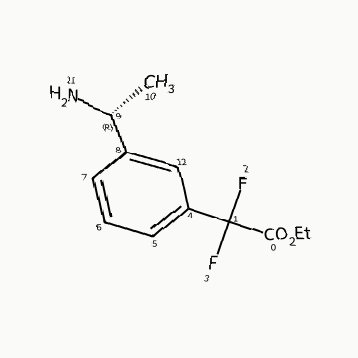 CCOC(=O)C(F)(F)c1cccc([C@@H](C)N)c1